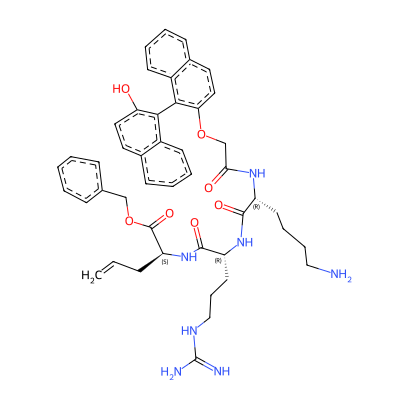 C=CC[C@H](NC(=O)[C@@H](CCCNC(=N)N)NC(=O)[C@@H](CCCCN)NC(=O)COc1ccc2ccccc2c1-c1c(O)ccc2ccccc12)C(=O)OCc1ccccc1